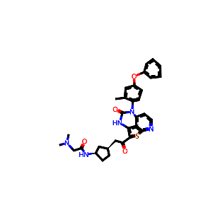 Cc1cc(Oc2ccccc2)ccc1N1C(=O)Nc2c(C(=O)C[C@H]3CC[C@@H](NC(=O)CN(C)C)C3)sc3nccc1c23